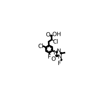 Cc1nn(-c2cc(C[C@H](Cl)C(=O)O)c(Cl)cc2F)c(=O)n1CF